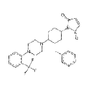 O=C1C=CC(=O)N1C1CCC(N2CCN(c3ccccc3C(F)(F)F)CC2)C(Cc2ccccc2)C1